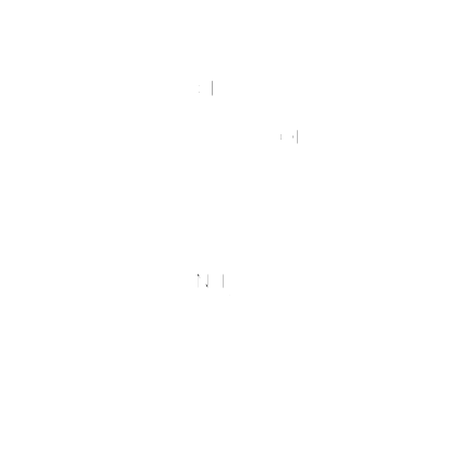 Nc1cccc(Cl)c1C(O)c1ccc(F)cc1